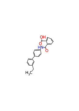 CCc1cccc(-c2ccc(NC(=O)c3ccccc3C(=O)O)cc2)c1